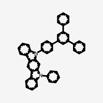 c1ccc(-c2cc(-c3ccccc3)cc(-c3ccc(-n4c5ccccc5c5cc6c7ccccc7n(-c7ccccc7)c6cc54)cc3)c2)cc1